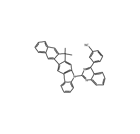 CC1(C)c2cc3ccccc3cc2-c2cc3c4ccccc4n(-c4nc(-c5cccc(C#N)c5)c5ccccc5n4)c3cc21